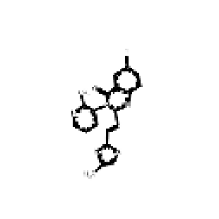 Cc1csc(C=Cc2nc3ccc(F)cc3c(=O)n2-c2cccnc2C)n1